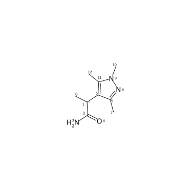 C[C](C(N)=O)c1c(C)nn(C)c1C